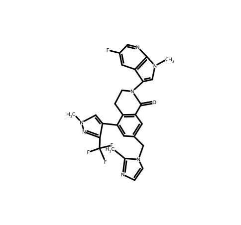 Cc1nccn1Cc1cc2c(c(-c3cn(C)nc3C(F)(F)F)c1)CCN(c1cn(C)c3ncc(F)cc13)C2=O